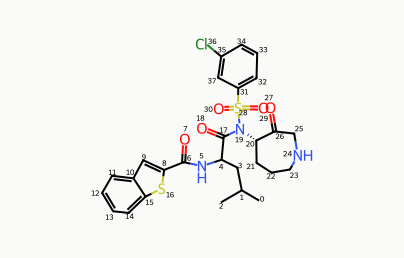 CC(C)CC(NC(=O)c1cc2ccccc2s1)C(=O)N([C@H]1CCCNCC1=O)S(=O)(=O)c1cccc(Cl)c1